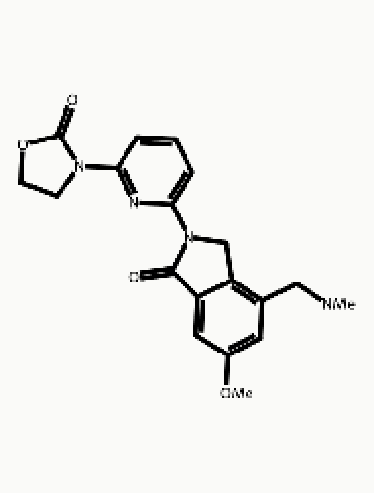 CNCc1cc(OC)cc2c1CN(c1cccc(N3CCOC3=O)n1)C2=O